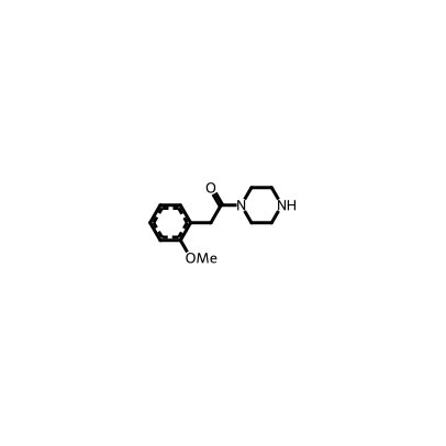 COc1ccccc1CC(=O)N1CCNCC1